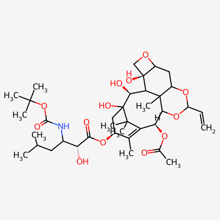 C=CC1OC2CC3OC[C@@]3(O)C3[C@H](O)C4(O)C[C@H](OC(=O)[C@H](O)C(CC(C)C)NC(=O)OC(C)(C)C)C(C)=C([C@H](OC(C)=O)[C@H](O1)C23C)C4(C)C